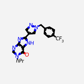 CCCn1cnc2nc(-c3cnn(Cc4ccc(C(F)(F)F)cc4)c3)[nH]c2c1=O